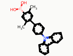 Cc1cc(-c2ccc(-n3c4ccccc4c4ccccc43)cc2)c(C)cc1B(O)O